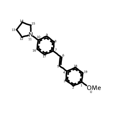 COc1ccc(C=Cc2ccc(N3CCCC3)cc2)cc1